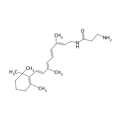 CC(C=CC1=C(C)CCCC1(C)C)=CC=CC(C)=CCNC(=O)CCN